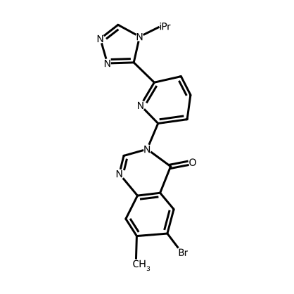 Cc1cc2ncn(-c3cccc(-c4nncn4C(C)C)n3)c(=O)c2cc1Br